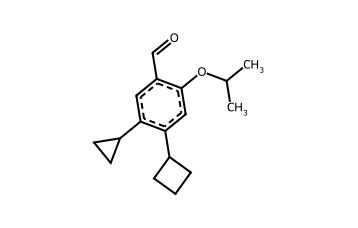 CC(C)Oc1cc(C2CCC2)c(C2CC2)cc1C=O